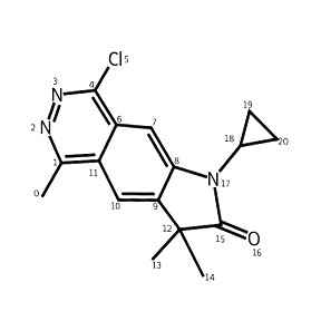 Cc1nnc(Cl)c2cc3c(cc12)C(C)(C)C(=O)N3C1CC1